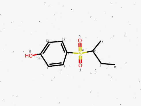 CCC(C)S(=O)(=O)c1ccc(O)cc1